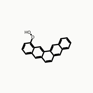 OOc1cccc2cc3ccc4cc5ccccc5cc4c3cc12